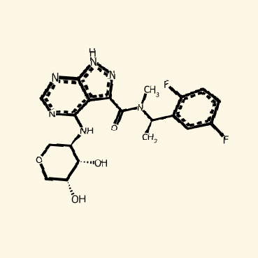 C[C@H](c1cc(F)ccc1F)N(C)C(=O)c1n[nH]c2ncnc(N[C@@H]3COC[C@@H](O)[C@H]3O)c12